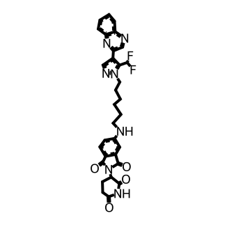 O=C1CCC(N2C(=O)c3ccc(NCCCCCCn4ncc(-c5cnc6ccccc6n5)c4C(F)F)cc3C2=O)C(=O)N1